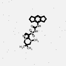 CN1CC(C)(C)Cn2ncc(S(=O)(=O)NC(=O)Nc3c4c(cc5c3CCC5)CCC4)c21